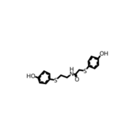 O=C(CSc1ccc(O)cc1)NCCSc1ccc(O)cc1